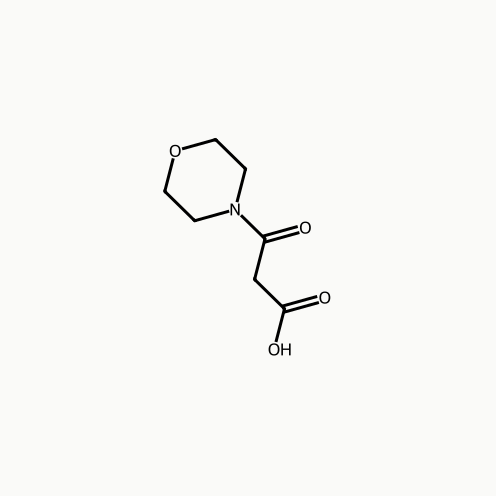 O=C(O)CC(=O)N1CCOCC1